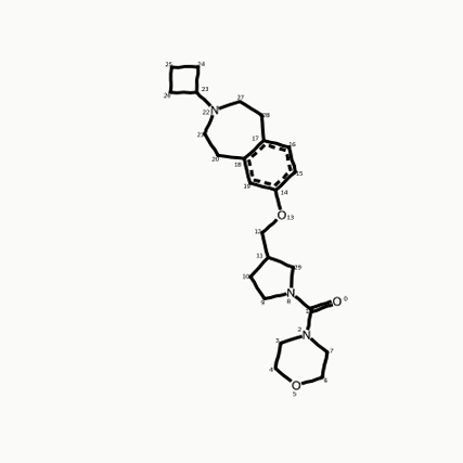 O=C(N1CCOCC1)N1CCC(COc2ccc3c(c2)CCN(C2CCC2)CC3)C1